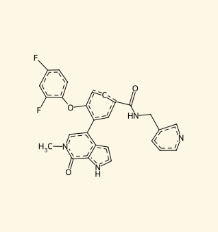 Cn1cc(-c2cc(C(=O)NCc3cccnc3)ccc2Oc2ccc(F)cc2F)c2cc[nH]c2c1=O